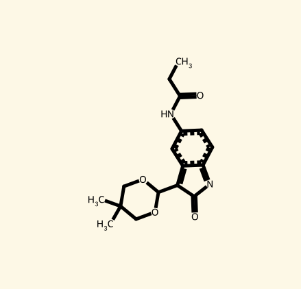 CCC(=O)Nc1ccc2c(c1)=C(C1OCC(C)(C)CO1)C(=O)N=2